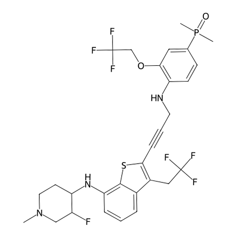 CN1CCC(Nc2cccc3c(CC(F)(F)F)c(C#CCNc4ccc(P(C)(C)=O)cc4OCC(F)(F)F)sc23)C(F)C1